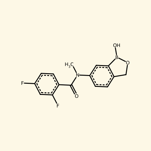 CN(C(=O)c1ccc(F)cc1F)c1ccc2c(c1)B(O)OC2